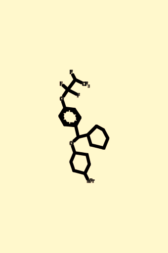 CCCC1CCC(OC(c2ccc(OC(F)(F)C(F)C(F)(F)F)cc2)C2CCCCC2)CC1